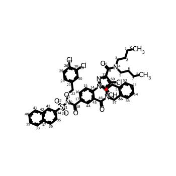 CCCCN(CCCC)C(=O)c1nn(-c2ccc(C(=O)N(OCc3ccc(Cl)c(Cl)c3)S(=O)(=O)c3ccc4ccccc4c3)cc2C(=O)N2CCc3ccccc3C2)c(C)c1Cl